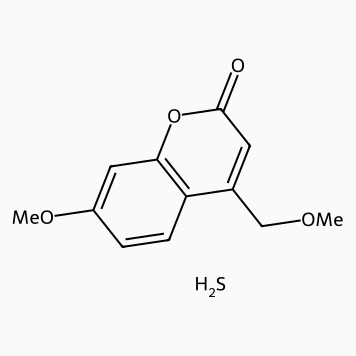 COCc1cc(=O)oc2cc(OC)ccc12.S